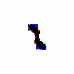 O=C(OCCCCOC(=O)c1ccc(C2(C(F)(F)F)NN2)cc1)c1ccc(C2(C(F)(F)F)NN2)cc1